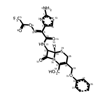 Nc1nc(C(=NOC(=O)C(F)(F)F)C(=O)NC2C(=O)N3C(C(=O)O)=C(COc4ccccc4)CS[C@@H]23)cs1